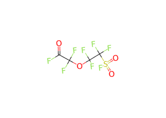 O=C(F)C(F)(F)OC(F)(F)C(F)(F)S(=O)(=O)F